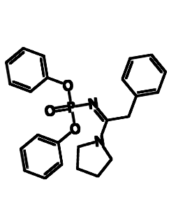 O=P(N=C(Cc1ccccc1)N1CCCC1)(Oc1ccccc1)Oc1ccccc1